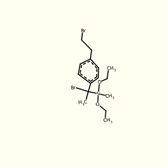 CCO[Si](C)(OCC)C(C)(Br)c1ccc(CCBr)cc1